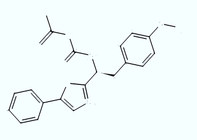 C=C(C)OC(=O)N[C@@H](Cc1ccc(NS(=O)(=O)O)cc1)c1ncc(-c2ccccc2)s1